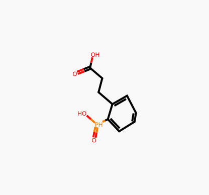 O=C(O)CCc1ccccc1[PH](=O)O